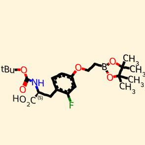 CC(C)(C)OC(=O)N[C@@H](Cc1ccc(OCCB2OC(C)(C)C(C)(C)O2)cc1F)C(=O)O